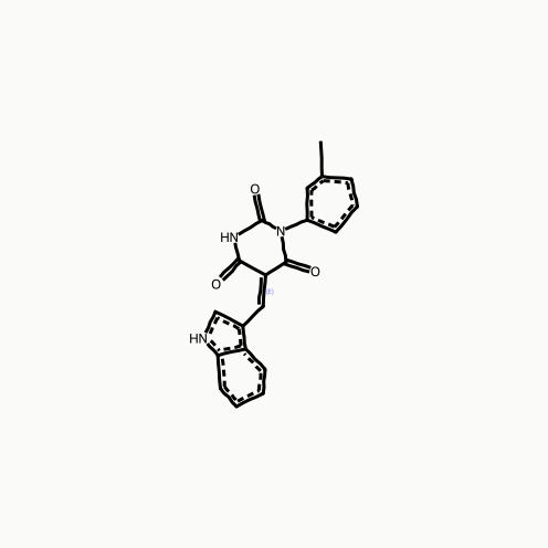 Cc1cccc(N2C(=O)NC(=O)/C(=C\c3c[nH]c4ccccc34)C2=O)c1